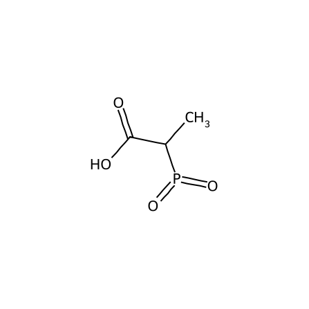 CC(C(=O)O)P(=O)=O